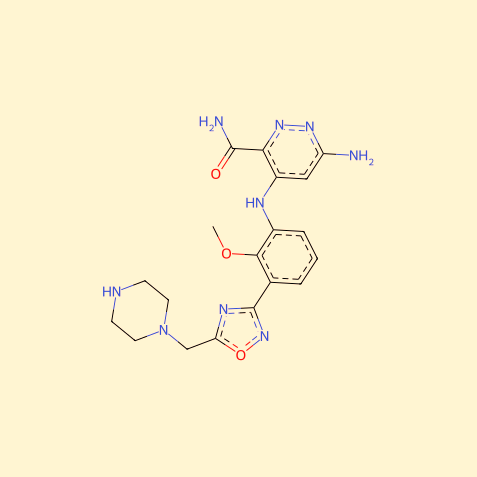 COc1c(Nc2cc(N)nnc2C(N)=O)cccc1-c1noc(CN2CCNCC2)n1